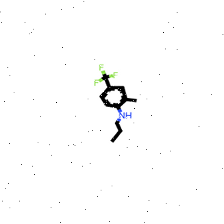 CCCNc1ccc(C(F)(F)F)cc1C